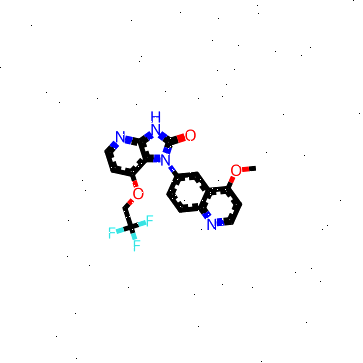 COc1ccnc2ccc(-n3c(=O)[nH]c4nccc(OCC(F)(F)F)c43)cc12